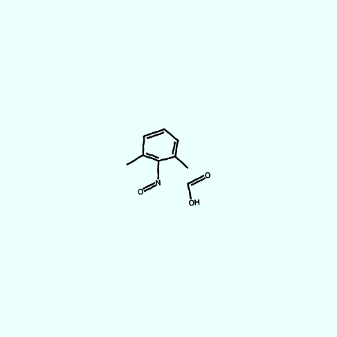 Cc1cccc(C)c1N=O.O=CO